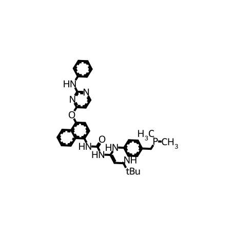 CP(C)Cc1ccc(N/C(=C\C(=N)C(C)(C)C)NC(=O)Nc2ccc(Oc3ccnc(Nc4ccccc4)n3)c3ccccc23)cc1